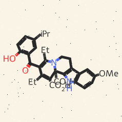 CCC1=C(C(=O)O)C2(C(=O)O)c3[nH]c4ccc(OC)cc4c3CCN2C(CC)=C1C(=O)c1cc(C(C)C)ccc1O